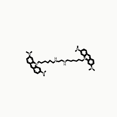 CN(C)c1ccc2cc3ccc(N(C)C)cc3[n+](CCCCCCNCCNCCCCCC[n+]3c4cc(N(C)C)ccc4cc4ccc(N(C)C)cc43)c2c1